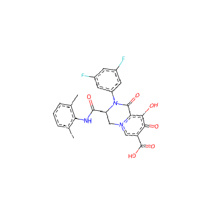 Cc1cccc(C)c1NC(=O)C1Cn2cc(C(=O)O)c(=O)c(O)c2C(=O)N1c1cc(F)cc(F)c1